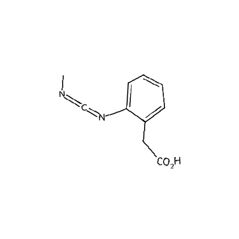 CN=C=Nc1ccccc1CC(=O)O